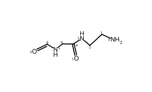 NCCNC(=O)CNC=O